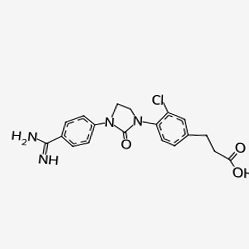 N=C(N)c1ccc(N2CCN(c3ccc(CCC(=O)O)cc3Cl)C2=O)cc1